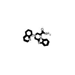 NC(=O)CCN(Cc1nc2ccccc2[nH]1)[C@H]1CCCc2cccnc21